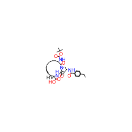 CCc1ccc(C(=O)N[C@@H]2C[C@H]3C(=O)N[C@]4(C(=O)O)C[C@H]4/C=C\CCCCC[C@H](NC(=O)OC(C)(C)C)C(=O)N3C2)cc1